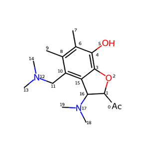 CC(=O)C1Oc2c(O)c(C)c(C)c(CN(C)C)c2C1N(C)C